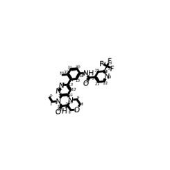 CCN1C(=O)[C@H]2COCCN2c2cc(-c3cc(NC(=O)C4=CC=N[C@H](C(F)(F)F)C4)ccc3C)nnc21